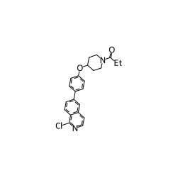 CCC(=O)N1CCC(Oc2ccc(-c3ccc4c(Cl)nccc4c3)cc2)CC1